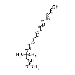 CC(=O)NCC(C)(C)OCCOCCOCCOCCOCCO